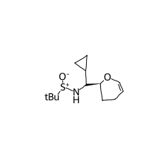 CC(C)(C)[S+]([O-])NC(C1CC1)[C@@H]1CCC=CO1